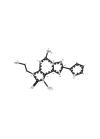 Cn1c(=O)n(CCO)c2nc(N)n3nc(-c4ccco4)nc3c21